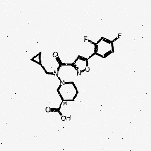 O=C(O)[C@@H]1CCCN(N(CC2CC2)C(=O)c2cc(-c3ccc(F)cc3F)on2)C1